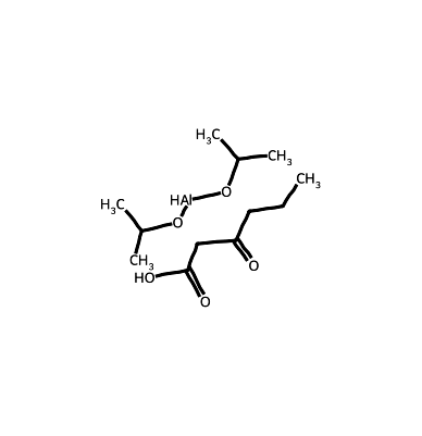 CC(C)[O][AlH][O]C(C)C.CCCC(=O)CC(=O)O